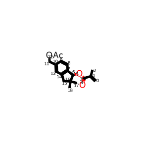 C=C(C)C(=O)OC1c2ccc(COC(C)=O)cc2CC1(C)C